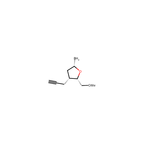 B[C@H]1C[C@@H](CC#C)[C@@H](COC)O1